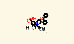 CCCC(N1CCC(OC(c2ccccc2)c2ccccc2)CC1)C1(C(C)C)C=CC(C(=O)O)C=C1